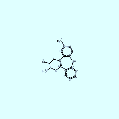 Cc1ccc2c(c1)C(CCO)=C(CCO)c1ccccc1S2